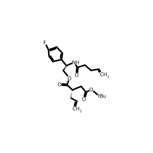 C=CCCC(=O)N[C@@H](COC(=O)[C@@H](CC=C)CC(=O)OC(C)(C)C)c1ccc(F)cc1